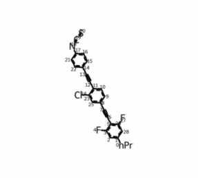 CCCc1cc(F)c(C#Cc2ccc(C#Cc3ccc(N=C=S)cc3)c(Cl)c2)c(F)c1